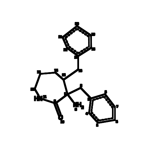 NC1(Cc2ccccc2)C(=O)NCCCC1Cc1ccccc1